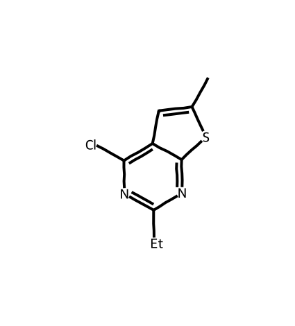 CCc1nc(Cl)c2cc(C)sc2n1